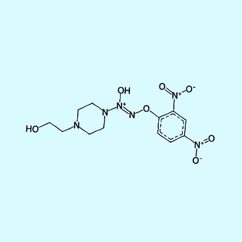 O=[N+]([O-])c1ccc(O/N=[N+](\O)N2CCN(CCO)CC2)c([N+](=O)[O-])c1